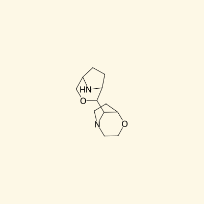 C1CN2CCC(O1)C2C1OCC2CCC1N2